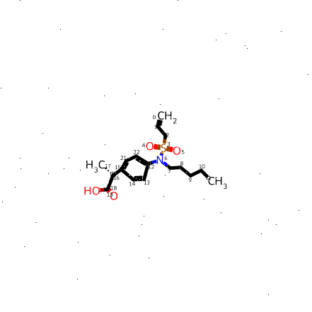 C=CCS(=O)(=O)N(CCCCC)c1ccc([C@@H](C)C(=O)O)cc1